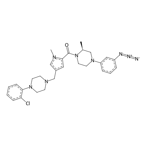 C[C@H]1CN(c2cccc(N=[N+]=[N-])c2)CCN1C(=O)c1cc(CN2CCN(c3ccccc3Cl)CC2)cn1C